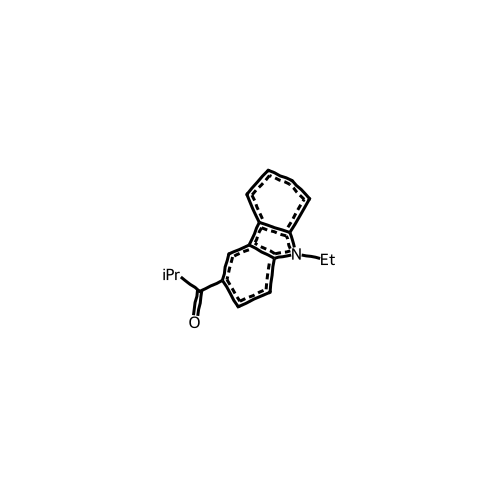 CCn1c2ccccc2c2cc(C(=O)C(C)C)ccc21